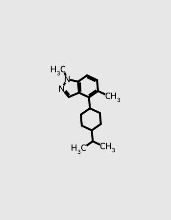 Cc1ccc2c(cnn2C)c1C1CCC(C(C)C)CC1